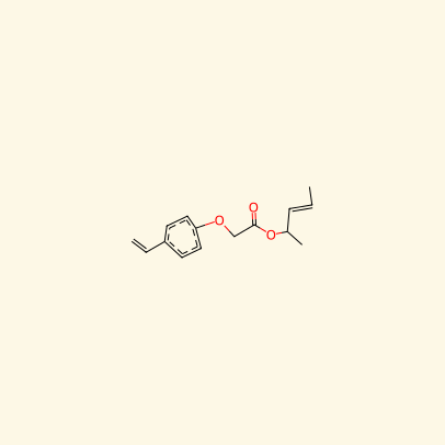 C=Cc1ccc(OCC(=O)OC(C)/C=C/C)cc1